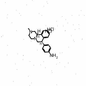 CN1CCN2C[C@H](c3ccc(N)cc3)c3ccccc3[C@H]2C1.Cl.Cl